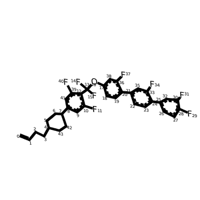 C=CCCC1CCC(c2cc(F)c(C(F)(F)Oc3ccc(-c4ccc(-c5ccc(F)c(F)c5)c(F)c4)c(F)c3)c(F)c2)CC1